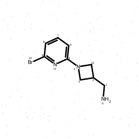 NCC1CN(c2cccc(Br)n2)C1